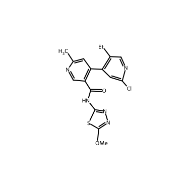 CCc1cnc(Cl)cc1-c1cc(C)ncc1C(=O)Nc1nnc(OC)s1